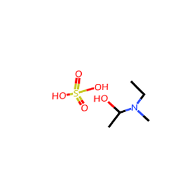 CCN(C)C(C)O.O=S(=O)(O)O